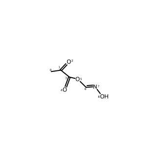 CC(=O)C(=O)OC=NO